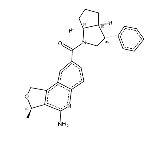 C[C@H]1OCc2c1c(N)nc1ccc(C(=O)N3C[C@@H](c4ccccc4)[C@@H]4CCC[C@@H]43)cc21